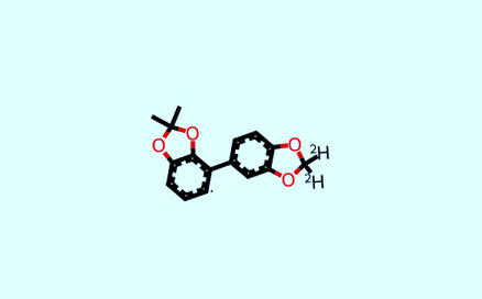 [2H]C1([2H])Oc2ccc(-c3[c]ccc4c3OC(C)(C)O4)cc2O1